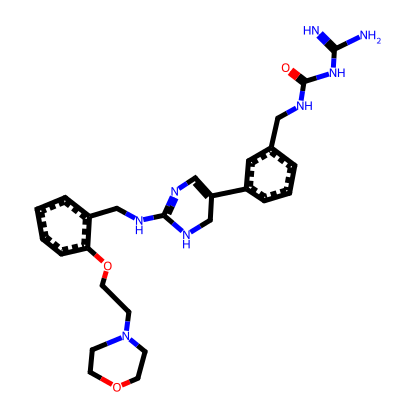 N=C(N)NC(=O)NCc1cccc(C2=CN=C(NCc3ccccc3OCCN3CCOCC3)NC2)c1